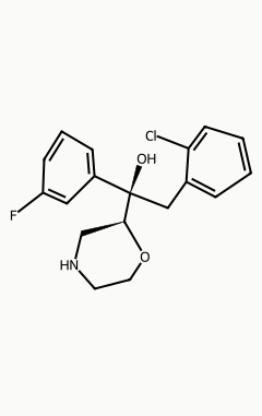 O[C@](Cc1ccccc1Cl)(c1cccc(F)c1)[C@@H]1CNCCO1